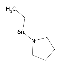 C[CH2][Sn][N]1CCCC1